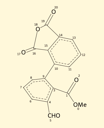 COC(=O)c1c(C=O)cccc1-c1cccc2c1C(=O)OC2=O